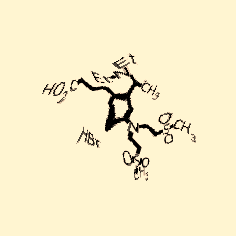 Br.CCN(CC)C(C)c1cc(N(CCS(C)(=O)=O)CCS(C)(=O)=O)ccc1CCCC(=O)O